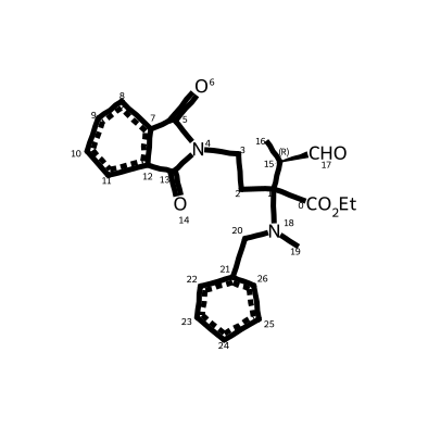 CCOC(=O)C(CCN1C(=O)c2ccccc2C1=O)([C@@H](C)C=O)N(C)Cc1ccccc1